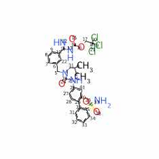 CC(C)CN(Cc1cccc(C(=N)NC(=O)OCC(Cl)(Cl)Cl)c1)C(=O)Nc1ccc(-c2ccccc2S(N)(=O)=O)cc1